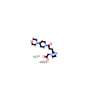 CCCCCCCCOC(=O)Cn1ccnc1CCC(=O)N1CCC(N2CCOCC2)CC1.Cl